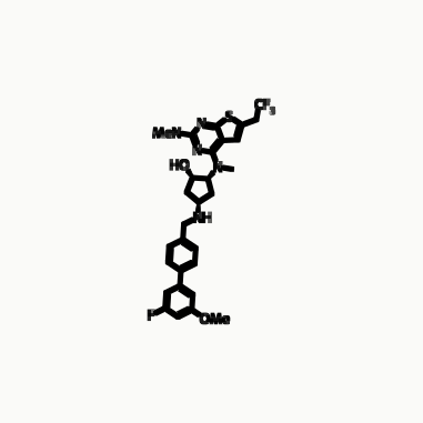 CNc1nc(N(C)[C@H]2C[C@@H](NCc3ccc(-c4cc(F)cc(OC)c4)cc3)C[C@H]2O)c2cc(CC(F)(F)F)sc2n1